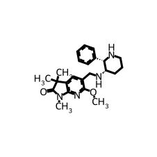 COc1nc2c(cc1CN[C@H]1CCCN[C@H]1c1ccccc1)C(C)(C)C(=O)N2C